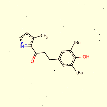 CC(C)(C)c1cc(CCC(=O)c2[nH]ccc2C(F)(F)F)cc(C(C)(C)C)c1O